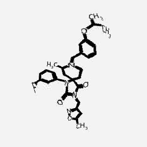 Cc1cc(CN2C(=O)N(c3cccc(F)c3)C3(CCN(Cc4cccc(OC(C)C)c4)C(C)C3)C2=O)no1